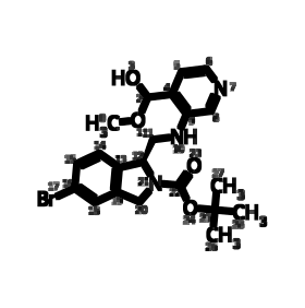 COC(O)c1ccncc1NC[C@@H]1c2ccc(Br)cc2CN1C(=O)OC(C)(C)C